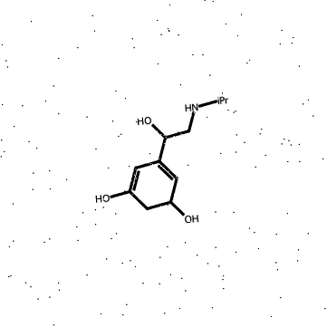 CC(C)NCC(O)C1=CC(O)CC(O)=C1